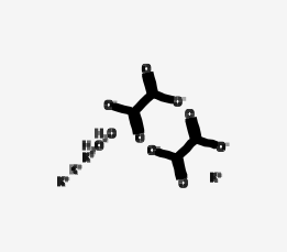 O.O.O=C([O-])C(=O)[O-].O=C([O-])C(=O)[O-].[K+].[K+].[K+].[K+]